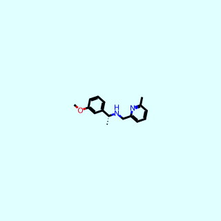 COc1cccc([C@@H](C)NCc2cccc(C)n2)c1